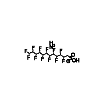 N.O=S(=O)(O)CC(F)C(F)C(F)C(F)C(F)C(F)C(F)C(F)C(F)C(F)C(F)F